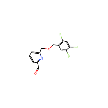 O=Cc1cccc(COCc2cc(F)c(F)cc2F)n1